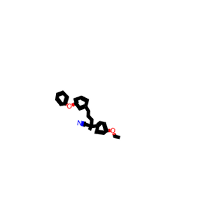 CCOc1ccc(C(C)(C#N)CCCc2cccc(Oc3ccccc3)c2)cc1